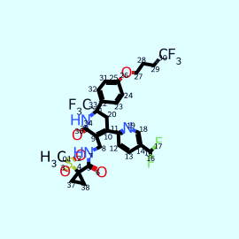 CS(=O)(=O)C1(C(=O)NCC2=C(c3ccc(C(F)F)cn3)C[C@@](c3ccc(OCCCC(F)(F)F)cc3)(C(F)(F)F)NC2=O)CC1